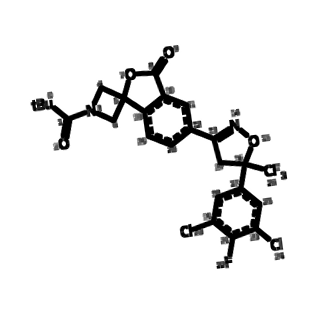 CC(C)(C)C(=O)N1CC2(C1)OC(=O)c1cc(C3=NOC(c4cc(Cl)c(F)c(Cl)c4)(C(F)(F)F)C3)ccc12